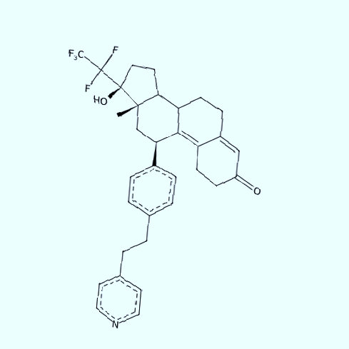 C[C@]12C[C@H](c3ccc(CCc4ccncc4)cc3)C3=C4CCC(=O)C=C4CCC3C1CC[C@@]2(O)C(F)(F)C(F)(F)F